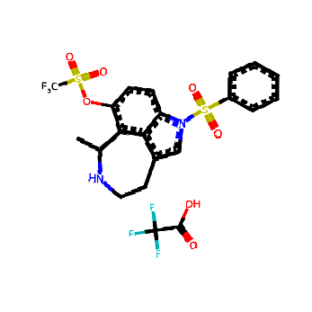 CC1NCCc2cn(S(=O)(=O)c3ccccc3)c3ccc(OS(=O)(=O)C(F)(F)F)c1c23.O=C(O)C(F)(F)F